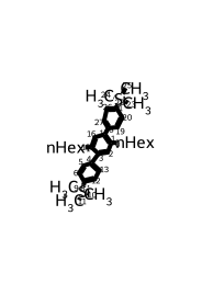 CCCCCCc1cc(-c2ccc([Si](C)(C)C)cc2)c(CCCCCC)cc1-c1ccc([Si](C)(C)C)cc1